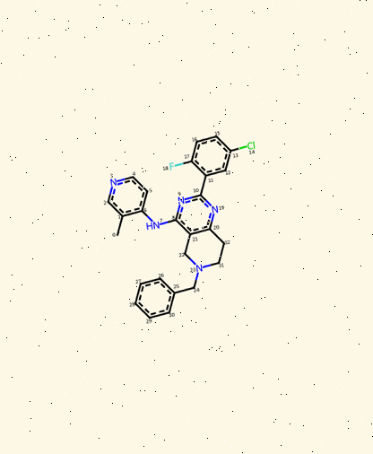 Cc1cnccc1Nc1nc(-c2cc(Cl)ccc2F)nc2c1CN(Cc1ccccc1)CC2